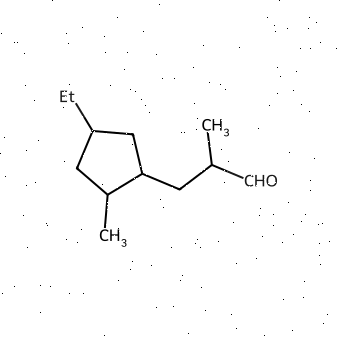 CCC1CC(C)C(CC(C)C=O)C1